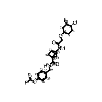 O=C(COC1CC[C@@H](Cl)C(F)C1)NC1CC2(C(=O)NCc3ccc(OC(F)F)cc3)CC1C2